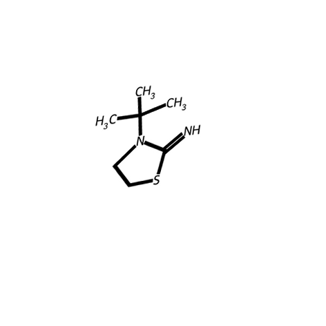 CC(C)(C)N1CCSC1=N